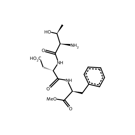 COC(=O)[C@H](Cc1ccccc1)NC(=O)[C@H](CC(=O)O)NC(=O)[C@H](N)[C@H](C)O